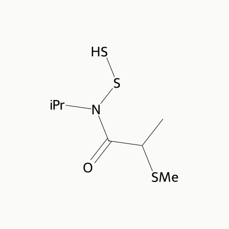 CSC(C)C(=O)N(SS)C(C)C